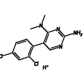 CN(C)c1nc(N)ncc1-c1ccc(Cl)cc1Cl.[H+]